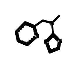 CN(Cc1ccccn1)c1nccs1